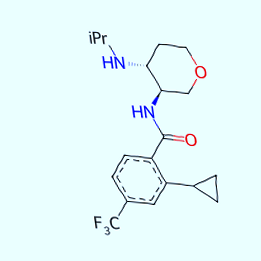 CC(C)N[C@@H]1CCOC[C@H]1NC(=O)c1ccc(C(F)(F)F)cc1C1CC1